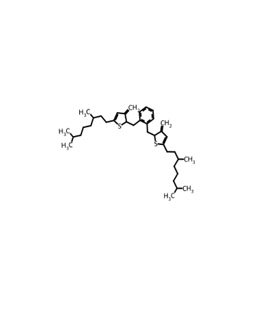 C=C1C=C(CCC(C)CCCC(C)C)SC1Cc1ccccc1CC1SC(CCC(C)CCCC(C)C)=CC1=C